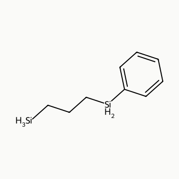 [SiH3]CCC[SiH2]c1ccccc1